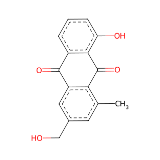 Cc1cc(CO)cc2c1C(=O)c1c(O)cccc1C2=O